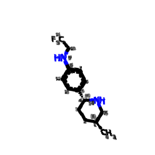 C[C@H]1CC[C@H](c2ccc(NCC(F)(F)F)cc2)NC1